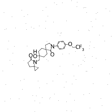 O=C1CCC2(CC2)N1CC1(O)CCC2(CCN(c3ccc(OCC(F)(F)F)cc3)C2=O)CC1